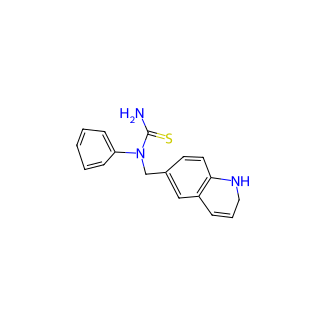 NC(=S)N(Cc1ccc2c(c1)C=CCN2)c1ccccc1